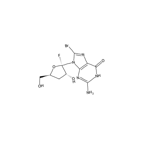 Nc1nc2c(nc(Br)n2[C@]2(F)O[C@H](CO)C[C@H]2O)c(=O)[nH]1